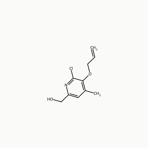 C=CCOc1c(C)cc(CO)nc1Cl